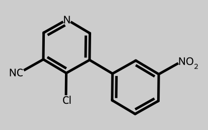 N#Cc1cncc(-c2cccc([N+](=O)[O-])c2)c1Cl